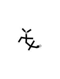 CCC(C)(CC(C)(C)C=O)N(C)C